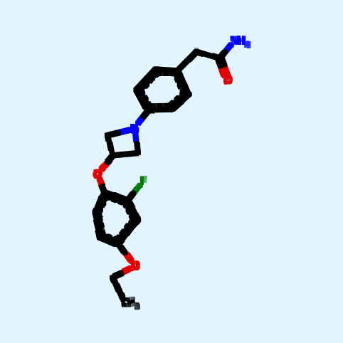 CCOc1ccc(OC2CN(c3ccc([CH]C(N)=O)cc3)C2)c(F)c1